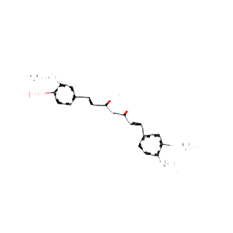 COc1cc(C=CC(=O)CC(=O)C=Cc2ccc([N+](=O)[O-])c(OC)c2)ccc1O